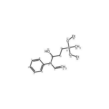 C=CN(c1ccccc1)C(O)CC[Si](C)(OCC)OCC